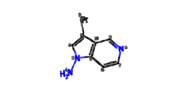 CC(C)c1cn(N)c2ccncc12